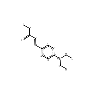 CCC(=O)/C=C/c1ccc(N(CC)CC)cc1